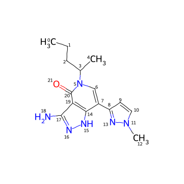 CCCC(C)n1cc(-c2ccn(C)n2)c2[nH]nc(N)c2c1=O